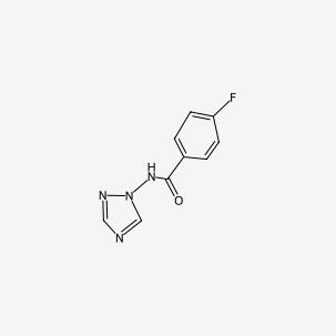 O=C(Nn1cncn1)c1ccc(F)cc1